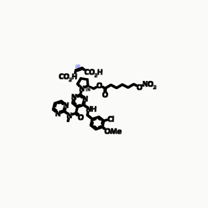 COc1ccc(CNc2nc(N3CCC[C@H]3COC(=O)CCCCCO[N+](=O)[O-])ncc2C(=O)N(C)c2ncccn2)cc1Cl.O=C(O)/C=C\C(=O)O